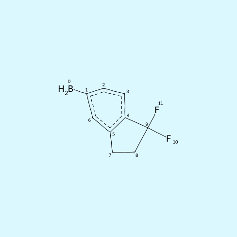 Bc1ccc2c(c1)CCC2(F)F